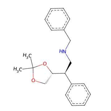 CC1(C)OC[C@@H]([C@@H](CNCc2ccccc2)c2ccccc2)O1